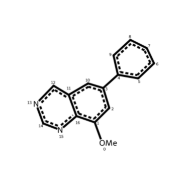 COc1cc(-c2ccccc2)cc2cncnc12